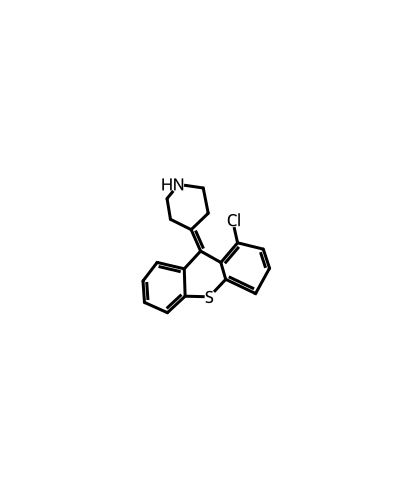 Clc1cccc2c1C(=C1CCNCC1)c1ccccc1S2